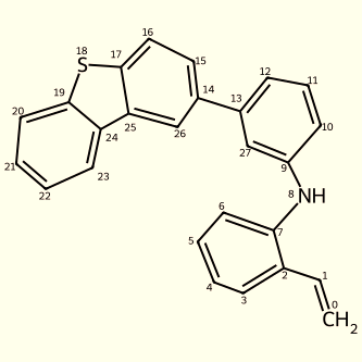 C=Cc1ccccc1Nc1cccc(-c2ccc3sc4ccccc4c3c2)c1